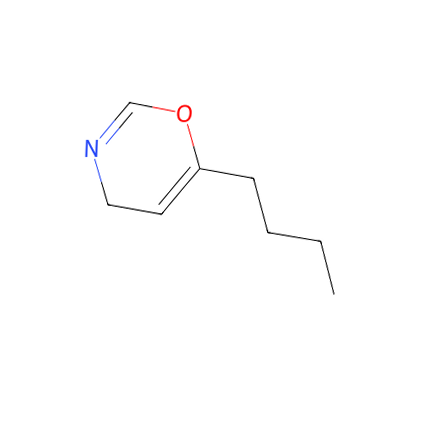 CCCCC1=CCN=CO1